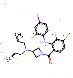 C=CCN(CC=C)C1CN(C(=O)c2ccc(F)c(F)c2Nc2ccc(I)cc2F)C1